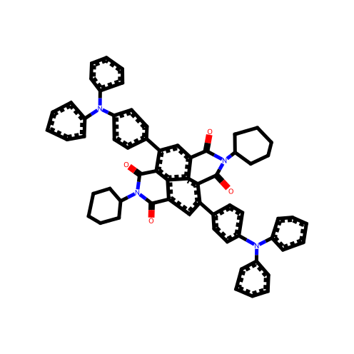 O=C1c2cc(-c3ccc(N(c4ccccc4)c4ccccc4)cc3)c3c4c(cc(-c5ccc(N(c6ccccc6)c6ccccc6)cc5)c(c24)C(=O)N1C1CCCCC1)C(=O)N(C1CCCCC1)C3=O